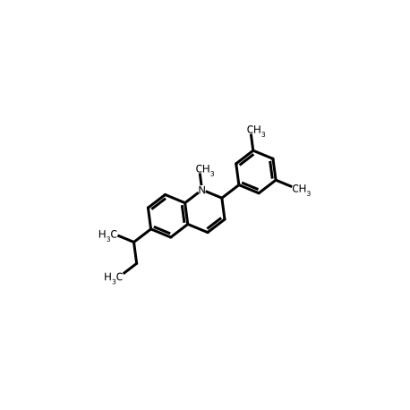 CCC(C)c1ccc2c(c1)C=CC(c1cc(C)cc(C)c1)N2C